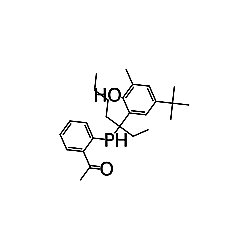 CCCCC(CC)(Pc1ccccc1C(C)=O)c1cc(C(C)(C)C)cc(C)c1O